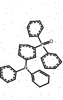 O=P(c1ccccc1)(c1ccccc1)c1cccc(N(C2=CCCC=C2)c2ccccc2)c1